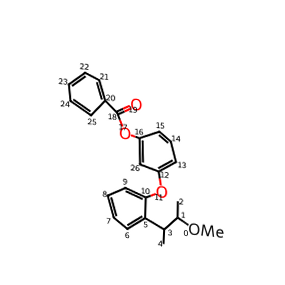 COC(C)C(C)c1ccccc1Oc1cccc(OC(=O)c2ccccc2)c1